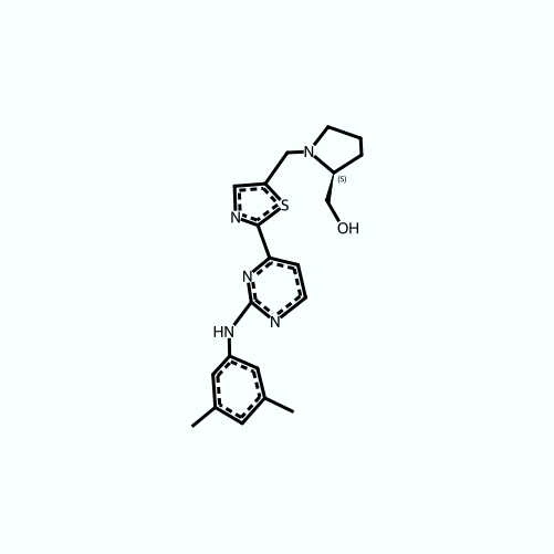 Cc1cc(C)cc(Nc2nccc(-c3ncc(CN4CCC[C@H]4CO)s3)n2)c1